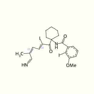 COc1cccc(C(=O)NC2(C(=O)/C(I)=C/C=C(/C)C=N)CCCCC2)c1I